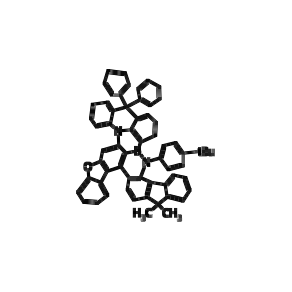 CC(C)(C)c1ccc(N2B3c4cccc5c4N(c4ccccc4C5(c4ccccc4)c4ccccc4)c4cc5oc6ccccc6c5c(c43)-c3ccc4c(c32)-c2ccccc2C4(C)C)cc1